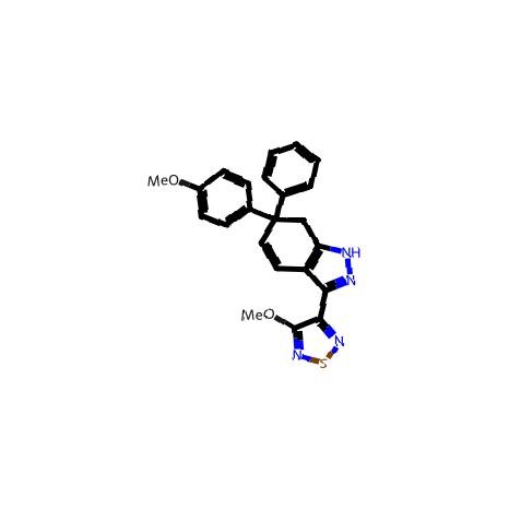 COc1ccc(C2(c3ccccc3)C=Cc3c(-c4nsnc4OC)n[nH]c3C2)cc1